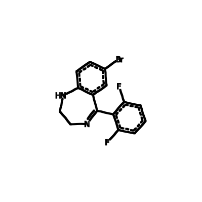 Fc1cccc(F)c1C1=NCCNc2ccc(Br)cc21